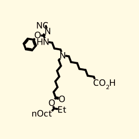 CCCCCCCCC(CC)OC(=O)CCCCCCCN(CCCCCCCC(=O)O)CCCN/C(=N/C#N)Oc1ccccc1